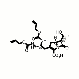 C=CCOC(=O)NC[C@@H](CC1=C(C(=O)O)N2C(=O)[C@H]([C@@H](C)O)[C@H]2C1)NC(=O)OCC=C